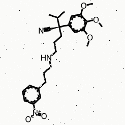 COc1cc([C@](C#N)(CCCNCCCc2cccc([N+](=O)[O-])c2)C(C)C)cc(OC)c1OC